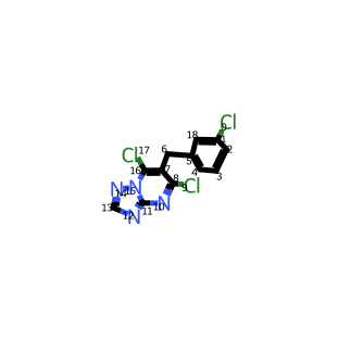 Clc1cccc(Cc2c(Cl)nc3ncnn3c2Cl)c1